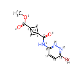 COC(=O)C12CC(C(=O)Nc3ccc(Br)nn3)(C1)C2